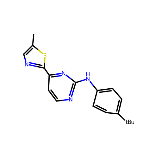 Cc1cnc(-c2ccnc(Nc3ccc(C(C)(C)C)cc3)n2)s1